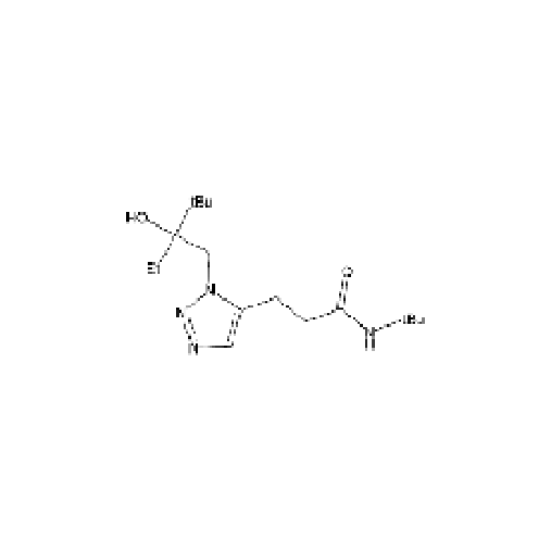 CCC(O)(Cn1nncc1CCC(=O)NC(C)(C)C)C(C)(C)C